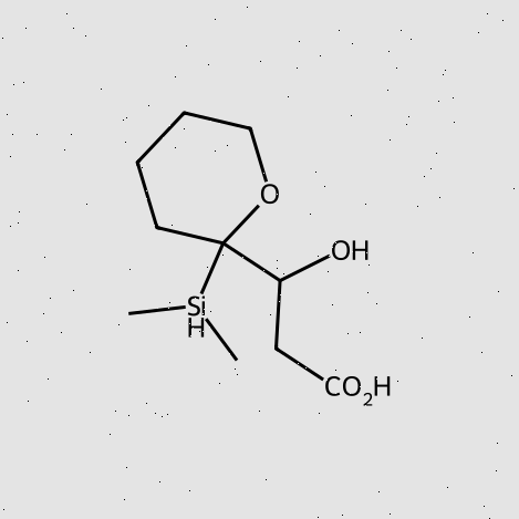 C[SiH](C)C1(C(O)CC(=O)O)CCCCO1